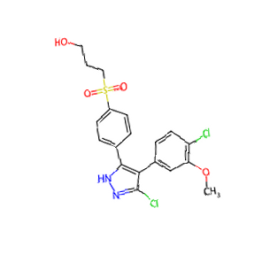 COc1cc(-c2c(Cl)n[nH]c2-c2ccc(S(=O)(=O)CCCO)cc2)ccc1Cl